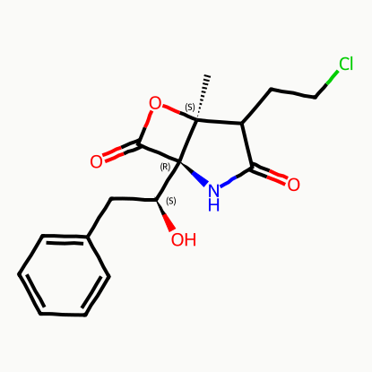 C[C@@]12OC(=O)[C@]1([C@@H](O)Cc1ccccc1)NC(=O)C2CCCl